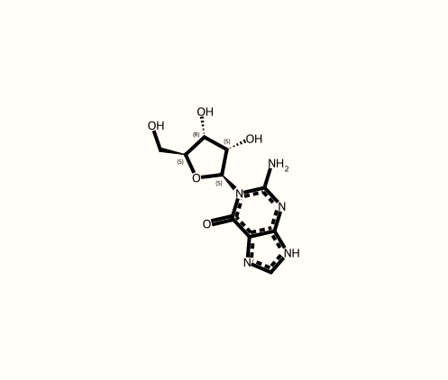 Nc1nc2[nH]cnc2c(=O)n1[C@H]1O[C@@H](CO)[C@H](O)[C@@H]1O